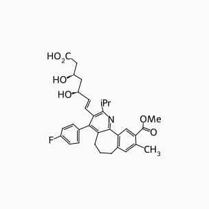 COC(=O)c1cc2c(cc1C)CCCc1c-2nc(C(C)C)c(/C=C/[C@@H](O)C[C@@H](O)CC(=O)O)c1-c1ccc(F)cc1